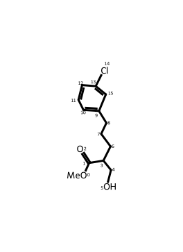 COC(=O)C(CO)CCCc1cccc(Cl)c1